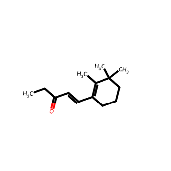 CCC(=O)C=CC1=C(C)C(C)(C)CCC1